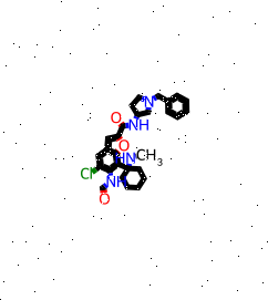 CNC1(c2c(NC=O)c(Cl)cc3cc(C(=O)NC4CCN(Cc5ccccc5)C4)oc23)CCCCC1